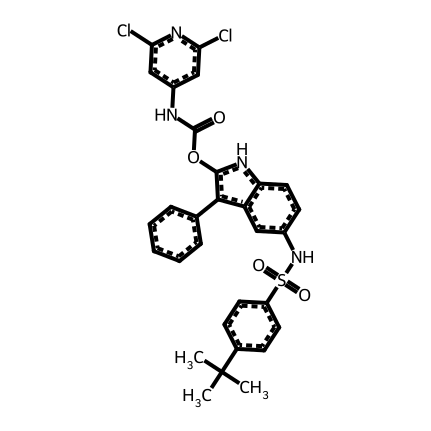 CC(C)(C)c1ccc(S(=O)(=O)Nc2ccc3[nH]c(OC(=O)Nc4cc(Cl)nc(Cl)c4)c(-c4ccccc4)c3c2)cc1